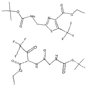 CCOC(=O)C(NC(=O)CNC(=O)OC(C)(C)C)C(=O)C(F)(F)F.CCOC(=O)c1nc(CNC(=O)OC(C)(C)C)sc1C(F)(F)F